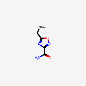 CNCc1nc(C(N)=O)no1